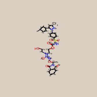 Cc1ccc(-c2cc(C(F)(F)F)nn2-c2ccc(S(=O)(=O)NC(=O)OCCN(CCO)/[N+]([O-])=N/OC(C)N3C(=O)c4ccccc4C3=O)cc2)cc1